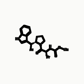 CC(=O)C(c1c[nH]c2ccccc12)[C@@H]1CCCN1C(=O)[C@@H](NC(=O)OC(C)(C)C)C(C)C